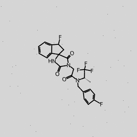 C[C@H](N(Cc1ccc(F)cc1)C(=O)CN1C(=O)NC2(CC(F)c3ccccc32)C1=O)C(F)(F)F